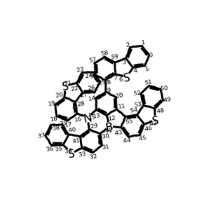 c1ccc2c(c1)sc1c(-c3cc4c5c(c3)N(c3cccc6sc7ccccc7c36)c3c(ccc6sc7ccccc7c36)B5c3ccc5sc6ccccc6c5c3-4)cccc12